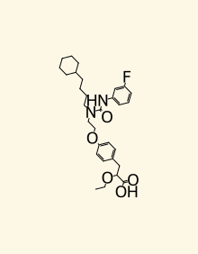 CCOC(Cc1ccc(OCCN(CCCCC2CCCCC2)C(=O)Nc2cccc(F)c2)cc1)C(=O)O